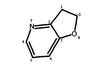 [CH]1Cc2ncccc2O1